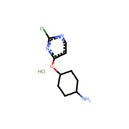 Cl.NC1CCC(Oc2ccnc(Cl)n2)CC1